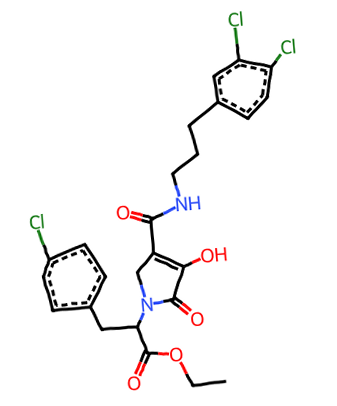 CCOC(=O)C(Cc1ccc(Cl)cc1)N1CC(C(=O)NCCCc2ccc(Cl)c(Cl)c2)=C(O)C1=O